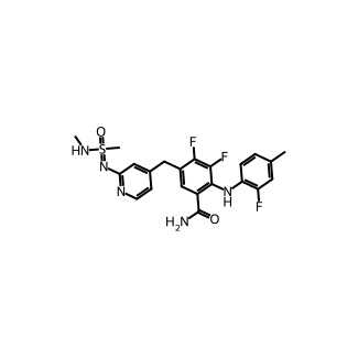 CNS(C)(=O)=Nc1cc(Cc2cc(C(N)=O)c(Nc3ccc(C)cc3F)c(F)c2F)ccn1